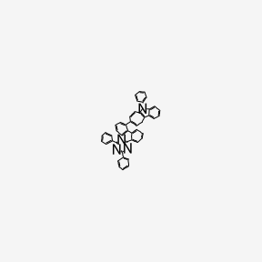 C1=Cc2c(c3ccccc3n2-c2ccccc2)CC=C1c1ccccc1-c1ccccc1-c1nc(-c2ccccc2)nc(-c2ccccc2)n1